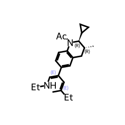 CCN/C=C(\C=C(/C)CC)c1ccc2c(c1)C[C@@H](C)[C@H](C1CC1)N2C(C)=O